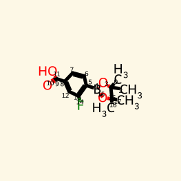 CC1(C)OB(c2ccc(C(=O)O)cc2F)OC1(C)C